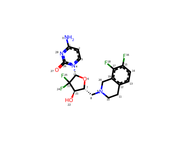 Nc1ccn([C@@H]2O[C@H](CN3CCc4ccc(F)c(F)c4C3)[C@@H](O)C2(F)F)c(=O)n1